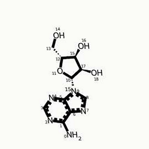 Nc1ncnc2c1nc[15n]2[C@@H]1O[C@H](CO)[C@@H](O)[C@H]1O